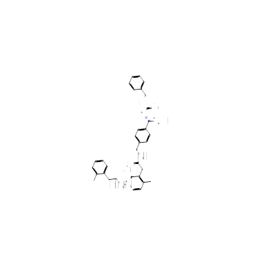 Cc1ccccc1CCNn1ccc(C)c(CC(=O)NCc2ccc(/C(N)=N/C(=O)OCc3ccccc3)cc2)c1=O